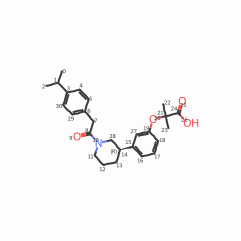 CC(C)c1ccc(CC(=O)N2CCC[C@H](c3cccc(OC(C)(C)C(=O)O)c3)C2)cc1